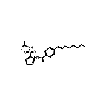 CCCCCC/C=C/c1ccc(C(=O)Nc2ccccc2S(=O)(=O)NC(C)=O)cc1